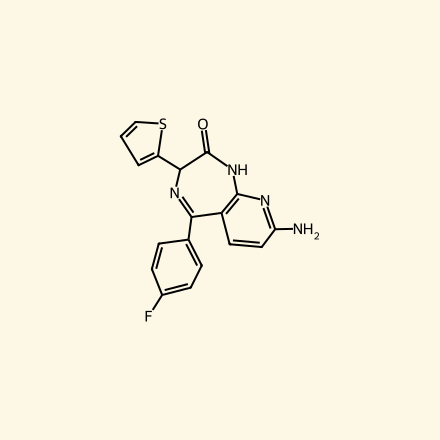 Nc1ccc2c(n1)NC(=O)C(c1cccs1)N=C2c1ccc(F)cc1